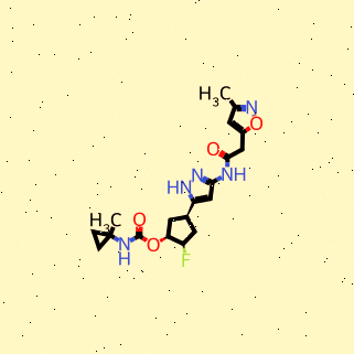 Cc1cc(CC(=O)Nc2cc([C@H]3C[C@@H](F)[C@@H](OC(=O)NC4(C)CC4)C3)[nH]n2)on1